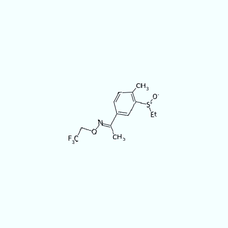 CC[S+]([O-])c1cc(/C(C)=N/OCC(F)(F)F)ccc1C